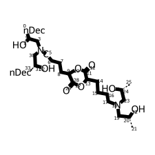 CCCCCCCCCCC(O)CN(CCCCC1OC(=O)C(CCCCN(C[C@@H](C)O)C[C@@H](C)O)OC1=O)C[C@H](O)CCCCCCCCCC